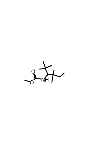 CCC(C)(C)C(NC(=O)OC)C(C)(C)C